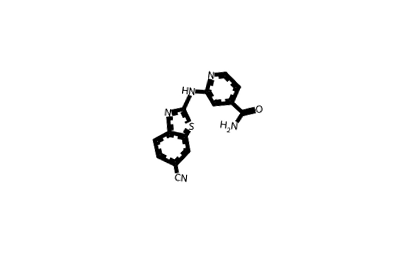 N#Cc1ccc2nc(Nc3cc(C(N)=O)ccn3)sc2c1